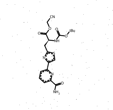 CC(C)(C)OC(=O)N[C@@H](Cc1nc(-c2cccc(C(N)=O)n2)cs1)C(=O)OCC#N